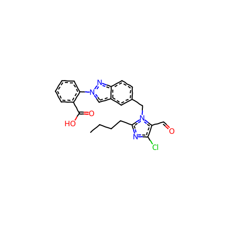 CCCCc1nc(Cl)c(C=O)n1Cc1ccc2nn(-c3ccccc3C(=O)O)cc2c1